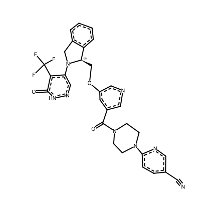 N#Cc1ccc(N2CCN(C(=O)c3cncc(OC[C@@H]4c5ccccc5CN4c4cn[nH]c(=O)c4C(F)(F)F)c3)CC2)nc1